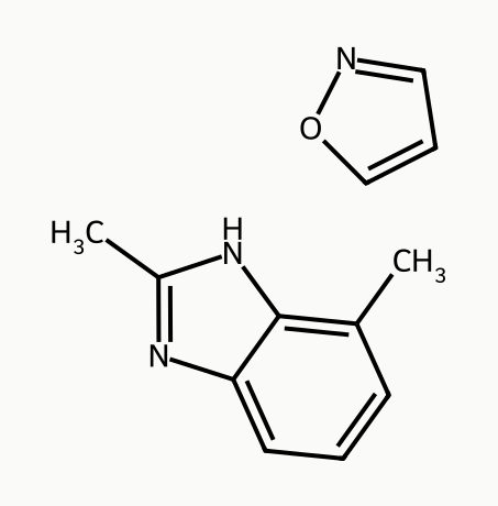 Cc1nc2cccc(C)c2[nH]1.c1cnoc1